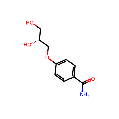 NC(=O)c1ccc(OC[C@H](O)CO)cc1